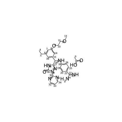 CC(=O)O.CCc1cc(OCCOC)cc(C(Nc2ccc(C(=N)N)cc2)c2nn(-c3ncccn3)c(=O)[nH]2)c1